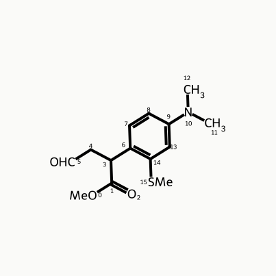 COC(=O)C(CC=O)c1ccc(N(C)C)cc1SC